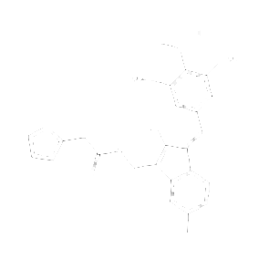 COc1cc(C=C2C(C)=C(CNC(=O)Cc3ccco3)c3cc(F)ccc32)cc(OC)c1B(O)O